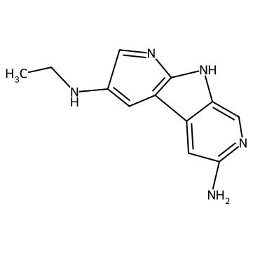 CCNc1cnc2[nH]c3cnc(N)cc3c2c1